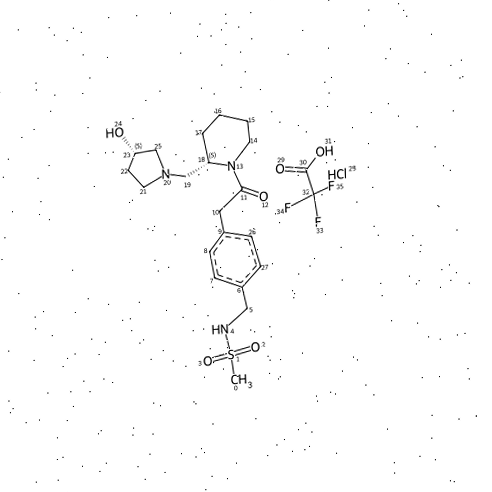 CS(=O)(=O)NCc1ccc(CC(=O)N2CCCC[C@H]2CN2CC[C@H](O)C2)cc1.Cl.O=C(O)C(F)(F)F